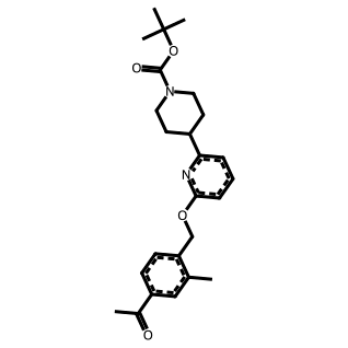 CC(=O)c1ccc(COc2cccc(C3CCN(C(=O)OC(C)(C)C)CC3)n2)c(C)c1